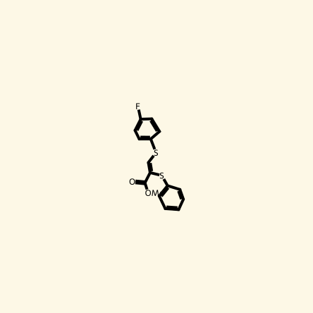 COC(=O)/C(=C/Sc1ccc(F)cc1)Sc1ccccc1